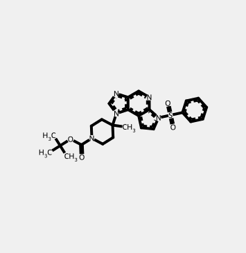 CC(C)(C)OC(=O)N1CCC(C)(n2cnc3cnc4c(ccn4S(=O)(=O)c4ccccc4)c32)CC1